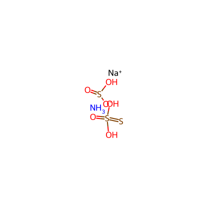 N.O=S(O)(O)=S.O=S([O-])O.[Na+]